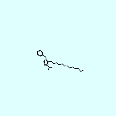 CCCCCCCCCCCCCc1n(Cc2ccccc2)cc[n+]1C(C)C